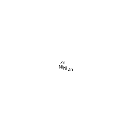 [Ni].[Ni].[Zn].[Zn]